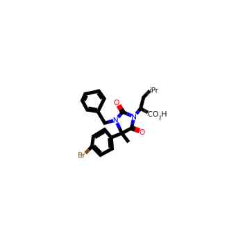 CC(C)CC(C(=O)O)N1C(=O)N(Cc2ccccc2)C(C)(c2ccc(Br)cc2)C1=O